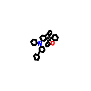 c1ccc(-c2cccc(N(c3ccccc3)c3ccc4c(c3)[Si]3(c5ccccc5Oc5ccccc53)c3ccccc3-4)c2)cc1